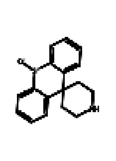 [O-][S+]1c2ccccc2C2(CCNCC2)c2ccccc21